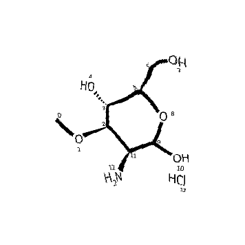 CO[C@H]1[C@H](O)[C@@H](CO)OC(O)[C@H]1N.Cl